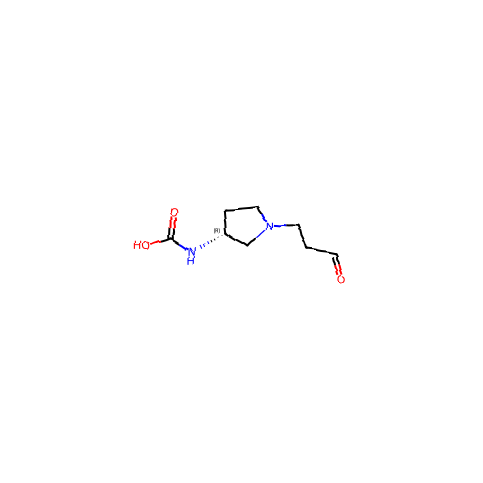 O=CCCN1CC[C@@H](NC(=O)O)C1